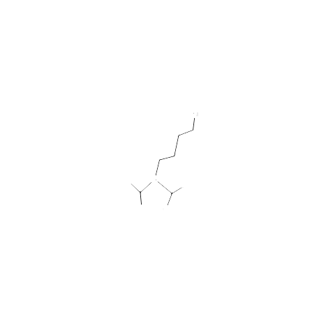 CC(O)N(CCCCN)C(C)O